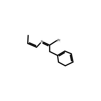 C/C=C\N=C(/CC1=CC=CCC1)C(C)C